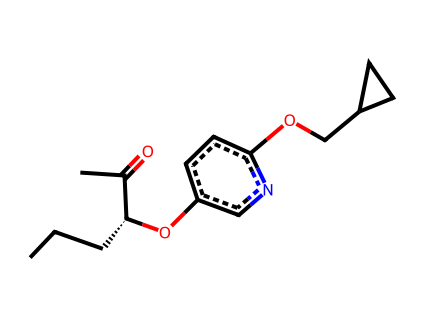 CCC[C@@H](Oc1ccc(OCC2CC2)nc1)C(C)=O